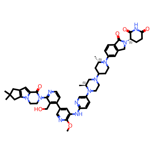 COc1ncc(-c2ccnc(N3CCn4c(cc5c4CC(C)(C)C5)C3=O)c2CO)cc1Nc1ccc(N2CCN(C3CCN(c4ccc5c(c4)CN([C@H]4CCC(=O)NC4=O)C5=O)[C@@H](C)C3)C[C@@H]2C)cn1